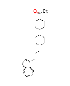 CCC(=O)C1CCC(C2CCC(CCCC3=CCc4ccccc43)CC2)CC1